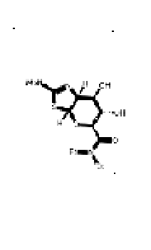 CCN(CC)C(=O)[C@H]1O[C@@H]2SC(NC)=N[C@@H]2[C@@H](O)[C@@H]1O